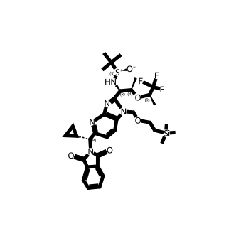 C[C@@H](O[C@H](C)C(F)(F)F)[C@H](N[S@+]([O-])C(C)(C)C)c1nc2nc([C@@H](C3CC3)N3C(=O)c4ccccc4C3=O)ccc2n1COCC[Si](C)(C)C